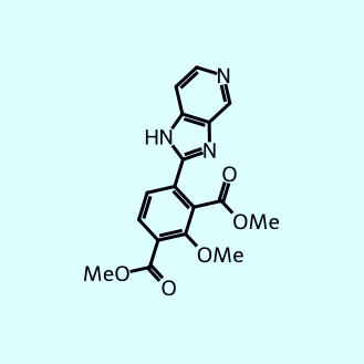 COC(=O)c1ccc(-c2nc3cnccc3[nH]2)c(C(=O)OC)c1OC